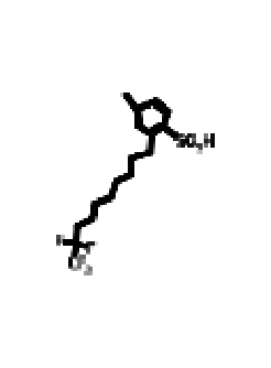 Cc1ccc(S(=O)(=O)O)c(CCCCCCCCC(F)(F)C(F)(F)F)c1